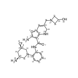 Nc1oc2c(c1C(=O)Nc1cnccc1N1C[C@@H](N)C[C@@H](C(F)(F)F)C1)NCC(CN1CC(O)C1)=C2